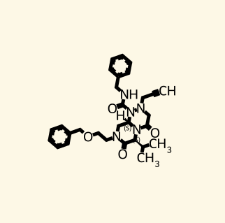 C#CCN1CC(=O)N2[C@@H](C(C)C)C(=O)N(CCOCc3ccccc3)C[C@@H]2N1C(=O)NCc1ccccc1